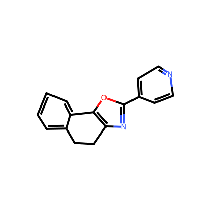 c1ccc2c(c1)CCc1nc(-c3ccncc3)oc1-2